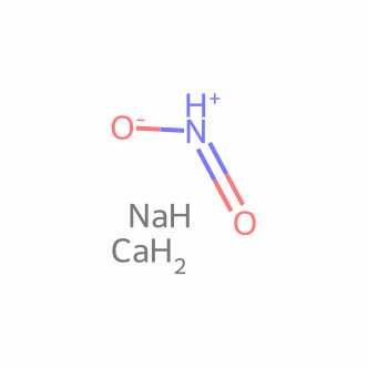 O=[NH+][O-].[CaH2].[NaH]